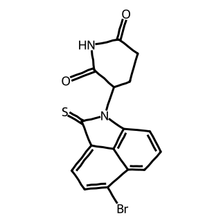 O=C1CCC(N2C(=S)c3ccc(Br)c4cccc2c34)C(=O)N1